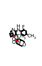 Cc1ccc(Nc2ncnc(OC3CC4COCC(C3)N4C(=O)OC3CCC3)c2C)c(F)c1